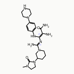 CN1CCN(C2CCCN(/C(N)=N/C(Nc3ccc(N4CCNCC4)cc3)=C(\N)C(N)=O)C2)C1=O